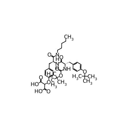 CCCCCNC(=O)[C@H](Cc1ccc(OC(C(=O)O)C(=O)O)cc1)NC(=O)[C@H](Cc1ccc(OC(C)(C)C)cc1)NC(=O)OC(C)(C)C